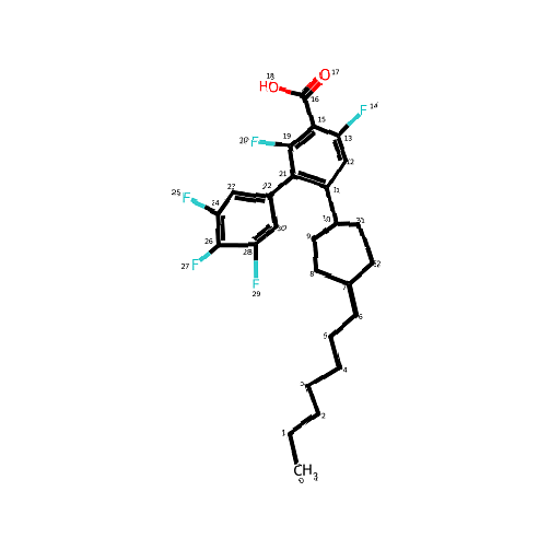 CCCCCCCC1CCC(c2cc(F)c(C(=O)O)c(F)c2-c2cc(F)c(F)c(F)c2)CC1